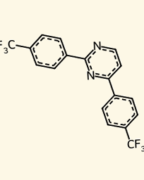 FC(F)(F)c1ccc(-c2ccnc(-c3ccc(C(F)(F)F)cc3)n2)cc1